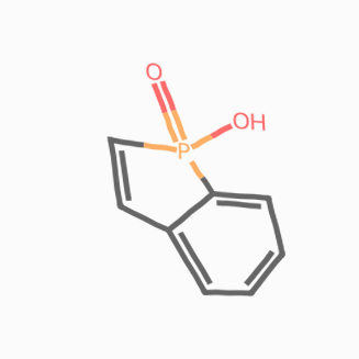 O=P1(O)C=Cc2ccccc21